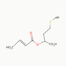 CCCSCCC(OC(=O)/C=C/C(=O)O)C(=O)O